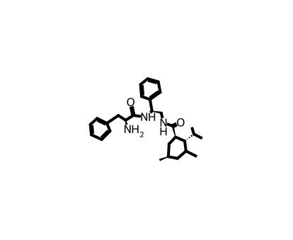 CC(C)[C@@H]1C(C)C[C@@H](C)C[C@H]1C(=O)NC[C@@H](NC(=O)[C@@H](N)Cc1ccccc1)c1ccccc1